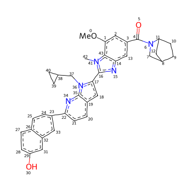 COc1cc(C(=O)N2CC3CCC2C3)cc2nc(-c3cc4ccc(-c5ccc6ccc(O)cc6c5)nc4n3CC3CC3)n(C)c12